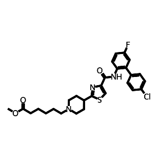 COC(=O)CCCCCN1CCC(c2nc(C(=O)Nc3ccc(F)cc3-c3ccc(Cl)cc3)cs2)CC1